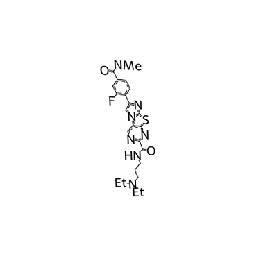 CCN(CC)CCCNC(=O)c1ncc2c(n1)sc1nc(-c3ccc(C(=O)NC)cc3F)cn12